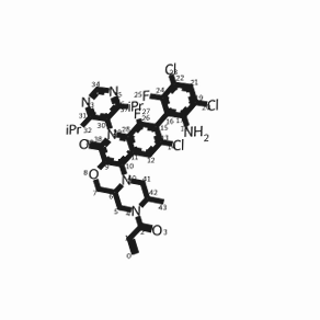 C=CC(=O)N1CC2COc3c(c4cc(Cl)c(-c5c(N)c(Cl)cc(Cl)c5F)c(F)c4n(-c4c(C(C)C)ncnc4C(C)C)c3=O)N2CC1C